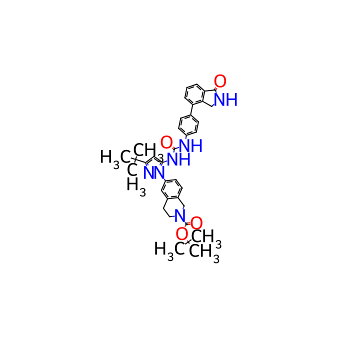 CC(C)(C)OC(=O)N1CCc2cc(-n3nc(C(C)(C)C)cc3NC(=O)Nc3ccc(-c4cccc5c4CNC5=O)cc3)ccc2C1